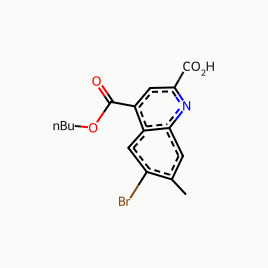 CCCCOC(=O)c1cc(C(=O)O)nc2cc(C)c(Br)cc12